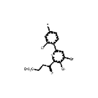 CCOC(=O)CCC(=O)c1nc(-c2ccc(F)cc2Cl)cc(Br)c1O